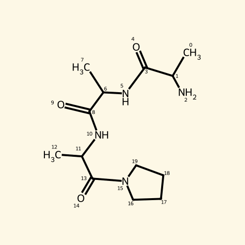 CC(N)C(=O)NC(C)C(=O)NC(C)C(=O)N1CCCC1